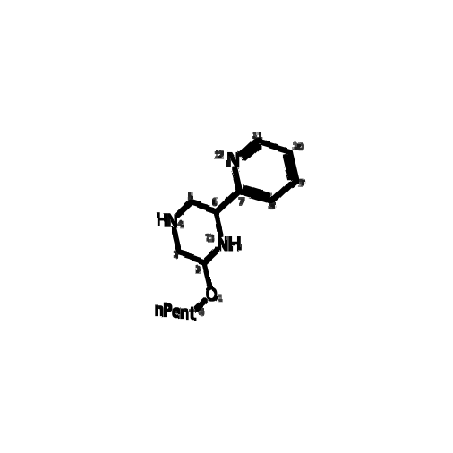 CCCCCOC1CNCC(c2ccccn2)N1